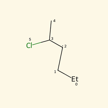 CCC[CH]C(C)Cl